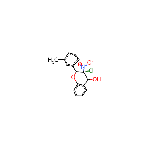 Cc1cccc([C@@H]2Oc3ccccc3[C@H](O)[C@@]2(Cl)[N+](=O)[O-])c1